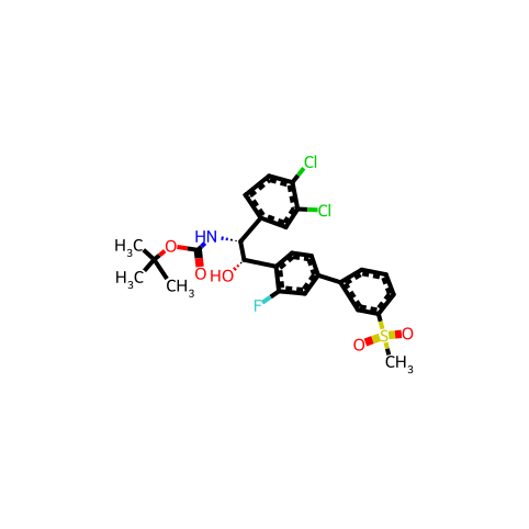 CC(C)(C)OC(=O)N[C@H](c1ccc(Cl)c(Cl)c1)[C@@H](O)c1ccc(-c2cccc(S(C)(=O)=O)c2)cc1F